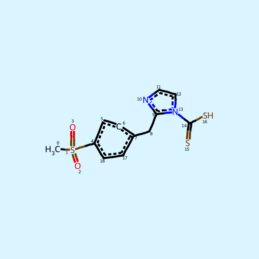 CS(=O)(=O)c1ccc(Cc2nccn2C(=S)S)cc1